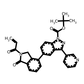 C=CC(=O)N1Cc2c(cccc2-c2ccc3c(c2)c(-c2cccnc2)nn3C(=O)OC(C)(C)C)C1=O